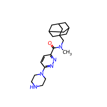 CN(CC12CC3CC(CC(C3)C1)C2)C(=O)c1ccc(N2CCNCC2)nn1